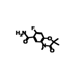 CN1C(=O)C(C)(C)Oc2cc(F)c(C(N)=O)cc21